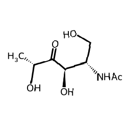 CC(=O)N[C@@H](CO)[C@@H](O)C(=O)[C@@H](C)O